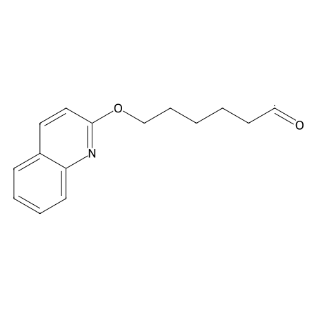 O=[C]CCCCCOc1ccc2ccccc2n1